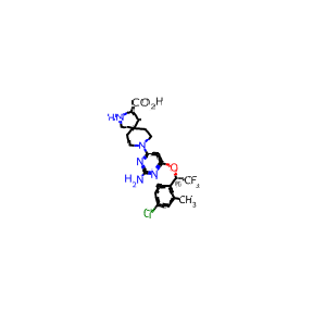 Cc1cc(Cl)ccc1[C@@H](Oc1cc(N2CCC3(CC2)CNC(C(=O)O)C3)nc(N)n1)C(F)(F)F